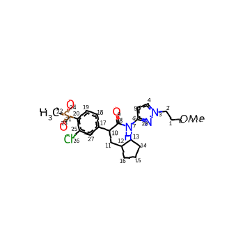 COCCn1ccc(NC(=O)C(CC2CCCC2)c2ccc(S(C)(=O)=O)c(Cl)c2)n1